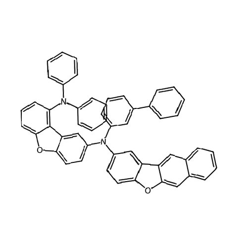 c1ccc(-c2cccc(N(c3ccc4oc5cc6ccccc6cc5c4c3)c3ccc4oc5cccc(N(c6ccccc6)c6ccccc6)c5c4c3)c2)cc1